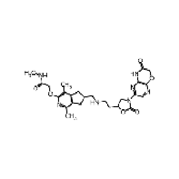 CNC(=O)COc1nc(C)c2c(c1C)CC(CNCCC1CN(c3cnc4c(n3)NC(=O)CO4)C(=O)O1)C2